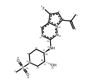 C=C(C)c1cc(F)c2cnc(N[C@@H]3CCN(S(C)(=O)=O)C[C@H]3O)nn12